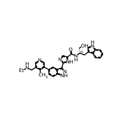 CCNCc1cncc(-c2ccc3[nH]nc(-c4ncc(C(=O)N[C@H](CO)Cc5c[nH]c6ccccc56)[nH]4)c3c2)c1C